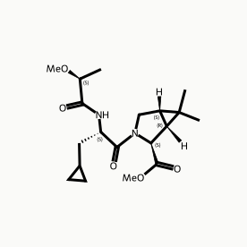 COC(=O)[C@@H]1[C@@H]2[C@H](CN1C(=O)[C@H](CC1CC1)NC(=O)[C@H](C)OC)C2(C)C